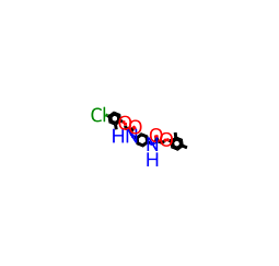 Cc1ccc(OCC(=O)NC2CCC(NC(=O)COc3ccc(Cl)cc3C)CC2)c(C)c1